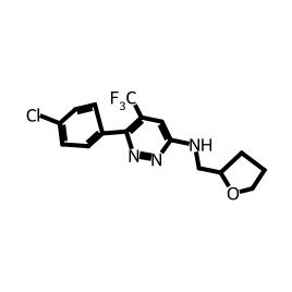 FC(F)(F)c1cc(NCC2CCCO2)nnc1-c1ccc(Cl)cc1